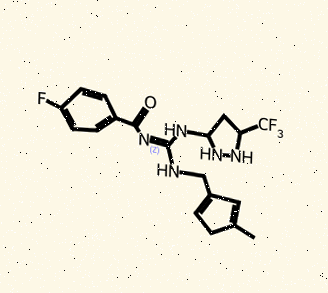 CC1=CC(CN/C(=N/C(=O)c2ccc(F)cc2)NC2CC(C(F)(F)F)NN2)=CC1